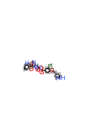 N[C@H](CC(=O)OC(=O)c1ccc(OCCC2CCNCC2)c(Cl)c1)NS(=O)(=O)c1ccccc1